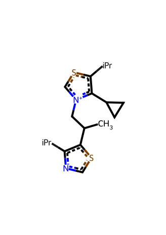 CC(C)c1ncsc1C(C)C[n+]1csc(C(C)C)c1C1CC1